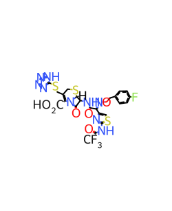 O=C(O)C1=C(CSc2nnn[nH]2)CS[C@H]2C(NC(=O)C(=NOCc3ccc(F)cc3)c3csc(NC(=O)C(F)(F)F)n3)C(=O)N12